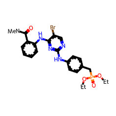 CCOP(=O)(Cc1ccc(Nc2ncc(Br)c(Nc3ccccc3C(=O)NC)n2)cc1)OCC